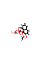 CCOc1ccc2ccccc2c1OC(=O)O